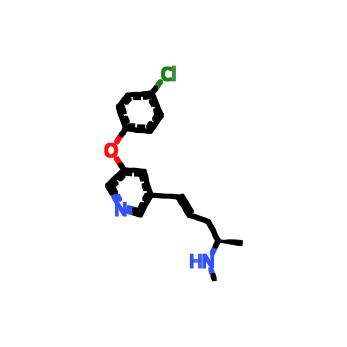 CN[C@H](C)CC=Cc1cncc(Oc2ccc(Cl)cc2)c1